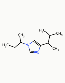 CCC(C)n1cnc(C(C)C(C)C)c1